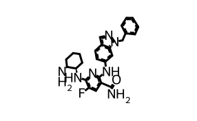 NC(=O)c1cc(F)c(N[C@@H]2CCCC[C@@H]2N)nc1Nc1ccc2cnn(Cc3ccccc3)c2c1